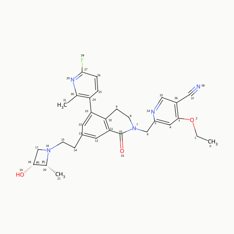 CCOc1cc(CN2CCc3c(cc(CCN4C[C@@H](O)[C@H]4C)cc3-c3ccc(F)nc3C)C2=O)ncc1C#N